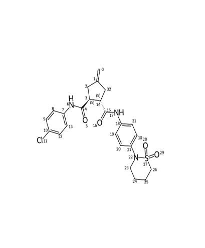 C=C1C[C@H](C(=O)Nc2ccc(Cl)cc2)[C@@H](C(=O)Nc2ccc(N3CCCCS3(=O)=O)cc2)C1